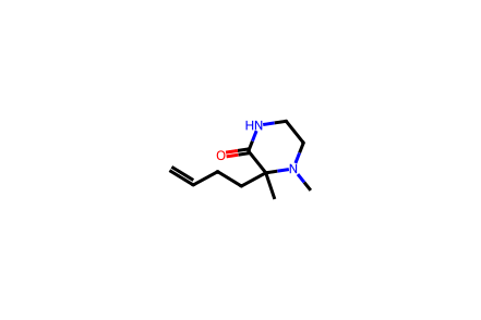 C=CCCC1(C)C(=O)NCCN1C